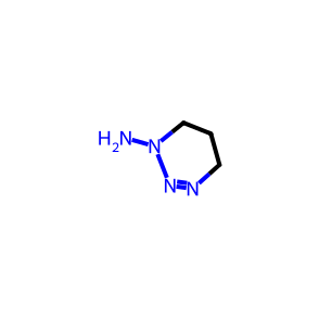 NN1CCCN=N1